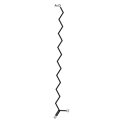 CC(=O)OCCCCCCCCCCCCCCC(=O)Cl